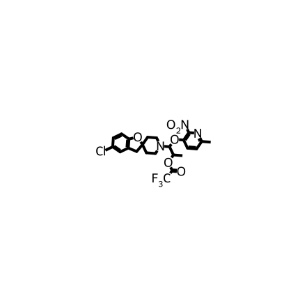 Cc1ccc(OC(C(C)OC(=O)C(F)(F)F)N2CCC3(CC2)Cc2cc(Cl)ccc2O3)c([N+](=O)[O-])n1